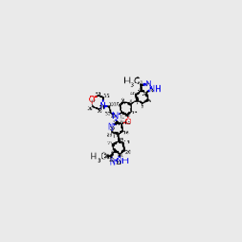 Cc1n[nH]c2ccc(-c3ccc4c(c3)Oc3cc(-c5ccc6[nH]nc(C)c6c5)cnc3N4CCN3CCOCC3)cc12